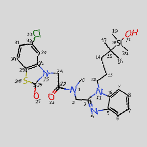 CN(Cc1nc2ccccc2n1CCCC(C)(C)[Si](C)(C)O)C(=O)Cn1c(=O)sc2ccc(Cl)cc21